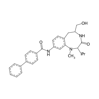 CC(C)C1C(=O)NC(CO)Cc2ccc(NC(=O)c3ccc(-c4ccccc4)cc3)cc2N1C